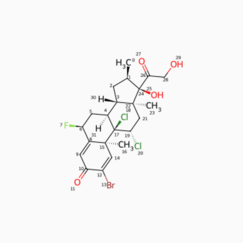 C[C@@H]1C[C@H]2[C@@H]3C[C@H](F)C4=CC(=O)C(Br)=C[C@]4(C)[C@@]3(Cl)[C@@H](Cl)C[C@]2(C)[C@@]1(O)C(=O)CO